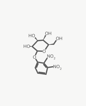 O=[N+]([O-])c1cccc(OC2O[C@H](CO)[C@H](O)[C@H](O)[C@H]2O)c1[N+](=O)[O-]